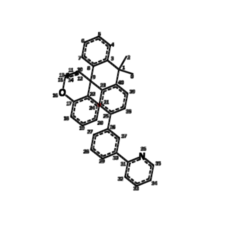 CC1(C)c2ccccc2C2(c3ccccc3Oc3ccccc32)c2cc(-c3cccc(-c4ccccn4)c3)ccc21